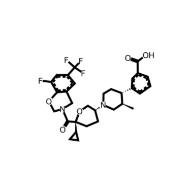 C[C@H]1CN([C@@H]2CC[C@@](C(=O)N3COc4c(F)cc(C(F)(F)F)cc4C3)(C3CC3)OC2)CC[C@@H]1c1cccc(C(=O)O)c1